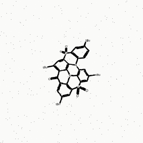 CC(C)(C)c1ccc2c(c1)S(=O)(=O)c1cc(C(C)(C)C)c3c(=O)c4cc(C(C)(C)C)cc5c4n4c3c1N2c1cc(C(C)(C)C)cc(c1-4)S5(=O)=O